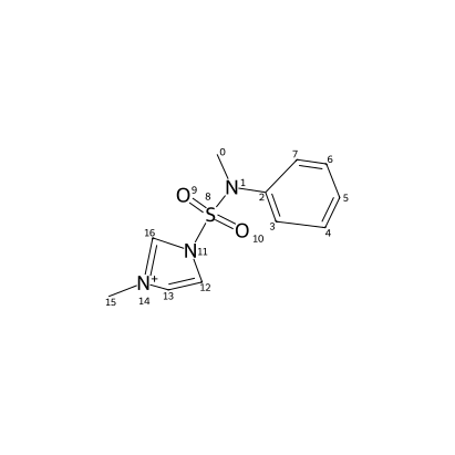 CN(c1ccccc1)S(=O)(=O)n1cc[n+](C)c1